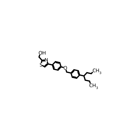 CCCC(CCC)c1ccc(COc2ccc(-c3csc(CO)n3)cc2)cc1